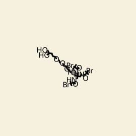 CC(C)(Br)C(=O)NCC(CNC(=O)C(C)(C)Br)(CNC(=O)C(C)(C)Br)COCCOCCOCCOCCCC(O)CO